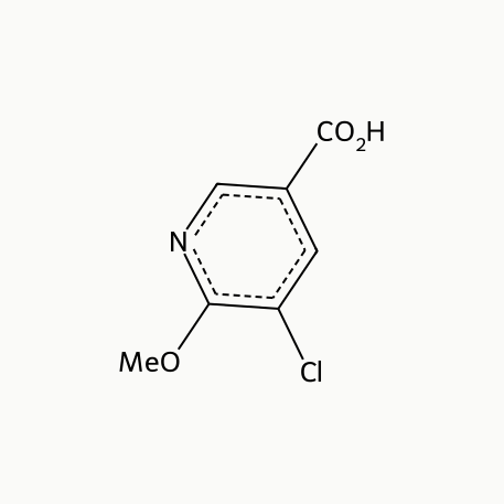 COc1ncc(C(=O)O)cc1Cl